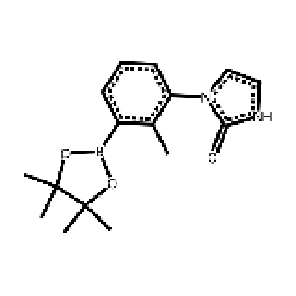 Cc1c(B2OC(C)(C)C(C)(C)O2)cccc1-n1cc[nH]c1=O